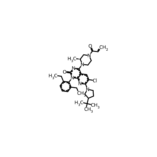 C=CC(=O)N1CCN(c2nc(=O)n(-c3c(CC)cccc3CC)c3nc(N4CCC(C(C)(C)C)C4)c(Cl)cc23)[C@@H](C)C1